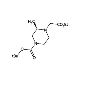 CCOC(=O)CN1CCN(C(=O)OC(C)(C)C)C[C@H]1C